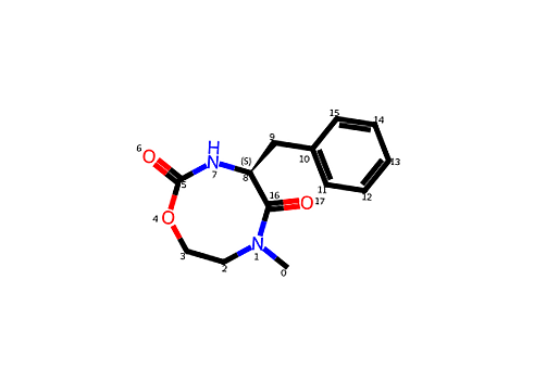 CN1CCOC(=O)N[C@@H](Cc2ccccc2)C1=O